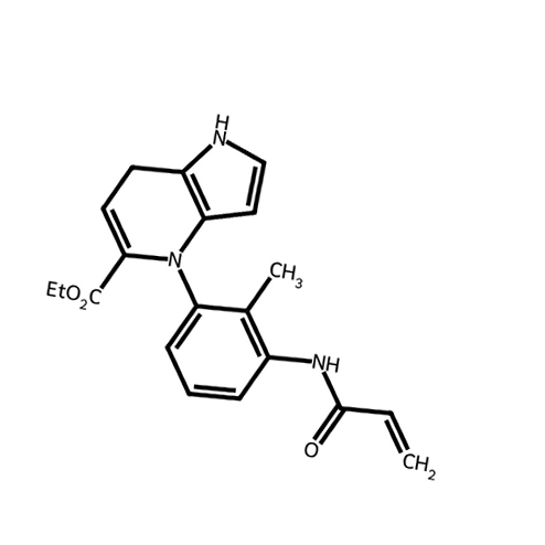 C=CC(=O)Nc1cccc(N2C(C(=O)OCC)=CCc3[nH]ccc32)c1C